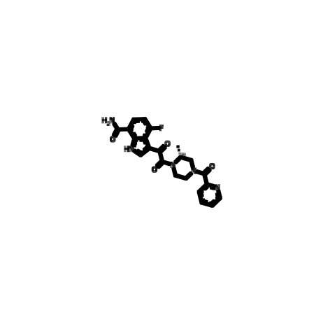 C[C@@H]1CN(C(=O)c2ccccn2)CCN1C(=O)C(=O)c1c[nH]c2c(C(N)=O)ccc(F)c12